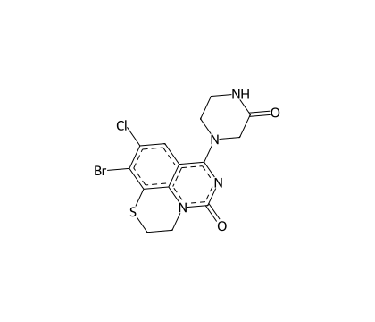 O=C1CN(c2nc(=O)n3c4c(c(Br)c(Cl)cc24)SCC3)CCN1